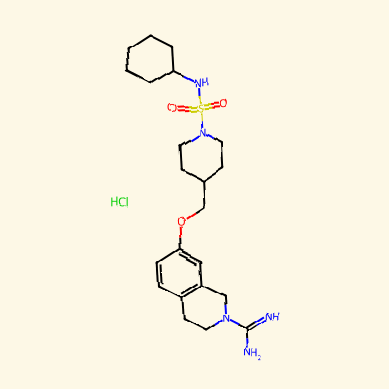 Cl.N=C(N)N1CCc2ccc(OCC3CCN(S(=O)(=O)NC4CCCCC4)CC3)cc2C1